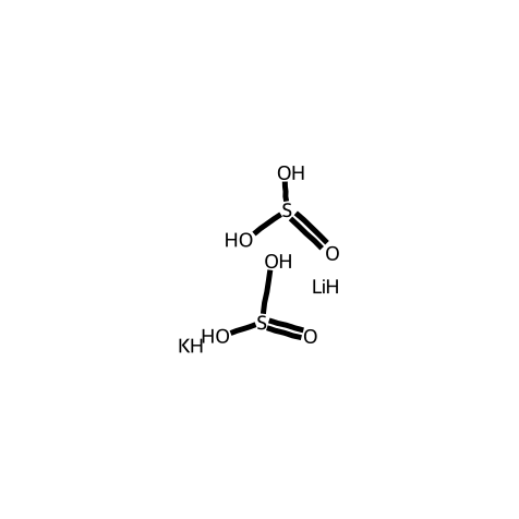 O=S(O)O.O=S(O)O.[KH].[LiH]